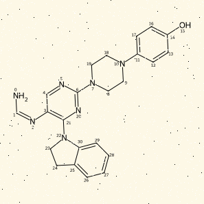 N/C=N\c1cnc(N2CCN(c3ccc(O)cc3)CC2)nc1N1CCc2ccccc21